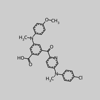 COc1ccc(N(C)c2cc(C(=O)O)cc(C(=O)c3ccc(N(C)c4ccc(Cl)cc4)cn3)c2)cc1